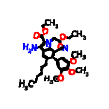 CCCCCCc1cc2c(N)c(C(=O)OCC)n(CC(=O)OCC)c2c(C#N)c1-c1cc(OC)c(OC)c(OC)c1